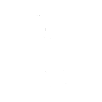 COc1ccccc1-c1cn(CCCCn2ccc(=O)c(O)c2C)nn1